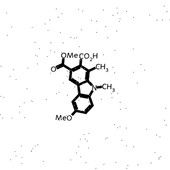 COC(=O)c1cc2c3cc(OC)ccc3n(C)c2c(C)c1C(=O)O